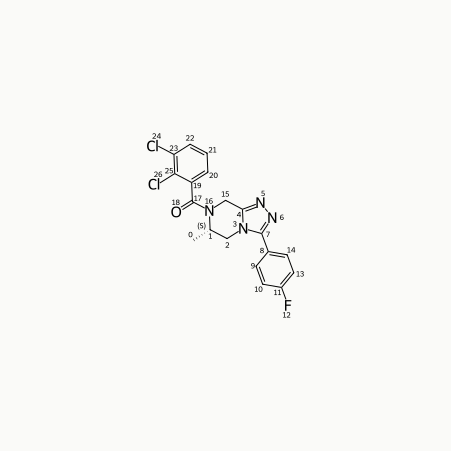 C[C@H]1Cn2c(nnc2-c2ccc(F)cc2)CN1C(=O)c1cccc(Cl)c1Cl